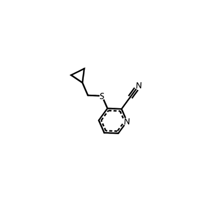 N#Cc1ncccc1SCC1CC1